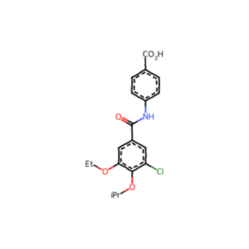 CCOc1cc(C(=O)Nc2ccc(C(=O)O)cc2)cc(Cl)c1OC(C)C